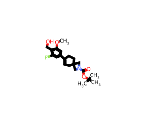 COc1cc(C2=CCC3(CC2)CN(C(=O)OC(C)(C)C)C3)cc(F)c1CO